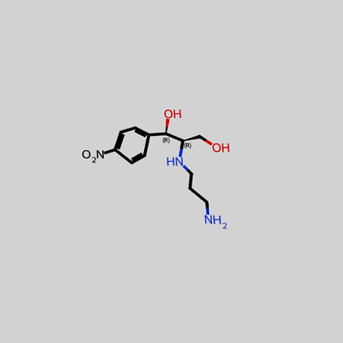 NCCCN[C@H](CO)[C@H](O)c1ccc([N+](=O)[O-])cc1